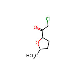 O=C(O)C1CCC(C(=O)CCl)O1